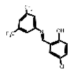 Oc1ccc(Cl)cc1/C=N/c1cc(C(F)(F)F)cc(C(F)(F)F)c1